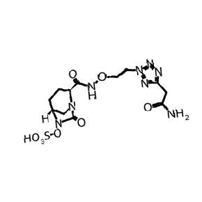 NC(=O)Cc1nnn(CCONC(=O)[C@@H]2CC[C@@H]3CN2C(=O)N3OS(=O)(=O)O)n1